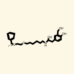 C[C@@H](OCCOCCCCCCNC(O)Cc1ccc(O)c(CO)c1)c1ccccc1